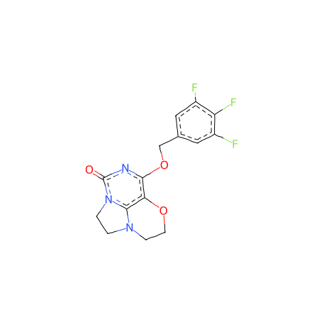 O=c1nc(OCc2cc(F)c(F)c(F)c2)c2c3n1CCN3CCO2